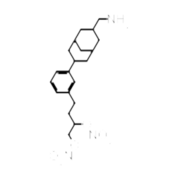 NCC1CC2CC(C1)CC(c1cccc(CCC(CO[N+](=O)[O-])O[N+](=O)[O-])c1)C2